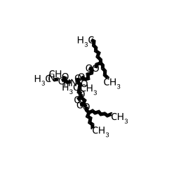 CCCCCCCCC(CCCCCC)COC(=O)CCCC(=O)O[C@@H](C(=O)NCCC(=O)OCCN(C)C)C(C)(C)COC(=O)CC(=O)OCC(CCCCCC)CCCCCCCC